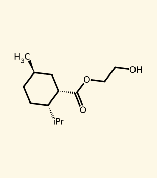 CC(C)[C@@H]1CC[C@@H](C)C[C@@H]1C(=O)OCCO